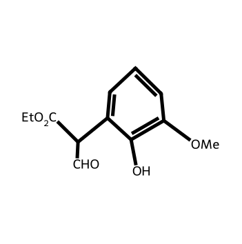 CCOC(=O)C(C=O)c1cccc(OC)c1O